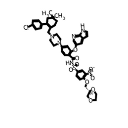 CC1(C)CCC(CN2CCN(c3ccc(C(=O)NS(=O)(=O)c4ccc(OC[C@H]5COCCO5)c([N+](=O)[O-])c4)c(Oc4cnc5[nH]ccc5c4)c3)CC2)=C(c2ccc(Cl)cc2)C1